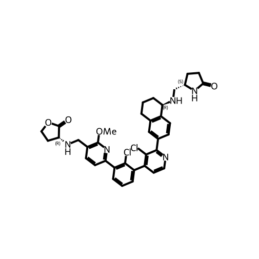 COc1nc(-c2cccc(-c3ccnc(-c4ccc5c(c4)CCC[C@H]5NC[C@@H]4CCC(=O)N4)c3Cl)c2Cl)ccc1CN[C@@H]1CCOC1=O